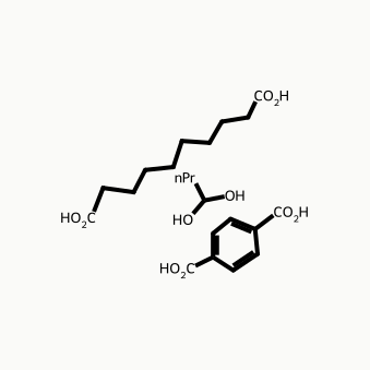 CCCC(O)O.O=C(O)CCCCCCCCC(=O)O.O=C(O)c1ccc(C(=O)O)cc1